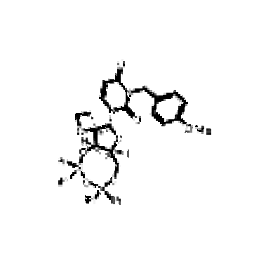 COc1ccc(Cn2c(=O)ccn([C@@H]3O[C@@H]4CO[Si](C(C)C)(C(C)C)O[Si](C(C)C)(C(C)C)O[C@H]4[C@]34CCO4)c2=O)cc1